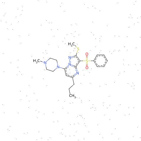 CCCc1cc(N2CCN(C)CC2)n2nc(SC)c(S(=O)(=O)c3ccccc3)c2n1